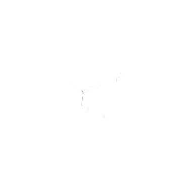 CC(=O)O.Cl.[CaH2].[Zn]